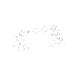 COC(=O)N[C@@H](C(=O)N1CCC[C@H]1c1ncc(C#Cc2ccc(-c3ccc(-c4cnc([C@@H]5CCCN5C(=O)[C@H](NC(=O)C5CC5)c5ccccc5)[nH]4)cc3)cc2)[nH]1)c1ccccc1